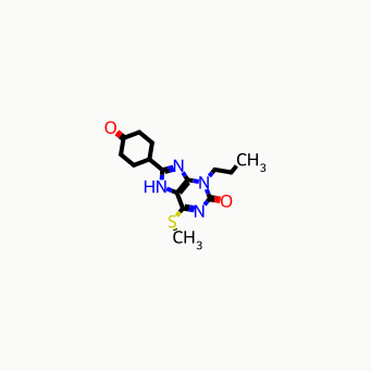 CCCn1c(=O)nc(SC)c2[nH]c(C3CCC(=O)CC3)nc21